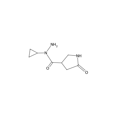 NN(C(=O)C1CNC(=O)C1)C1CC1